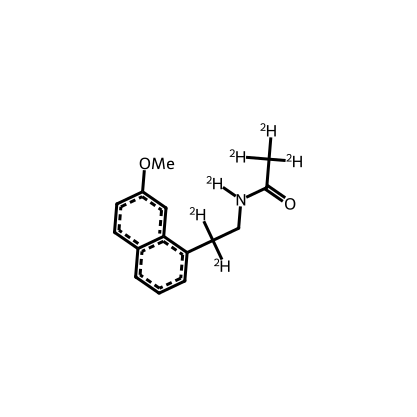 [2H]N(CC([2H])([2H])c1cccc2ccc(OC)cc12)C(=O)C([2H])([2H])[2H]